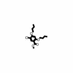 CCCCOc1cc(OCCCC)c(C(=O)OC)cc1Cl